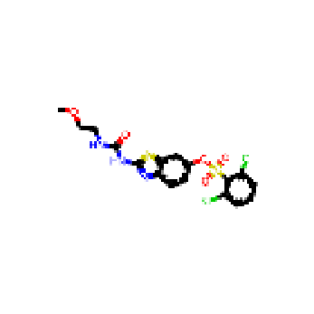 COCCNC(=O)Nc1nc2ccc(OS(=O)(=O)c3c(Cl)cccc3Cl)cc2s1